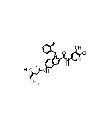 C/C=C(/C)CC(=O)Nc1ccc2c(c1)cc(C(=O)Nc1cnc(Cl)c(C)c1)n2Cc1ccccc1F